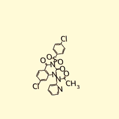 CC(=O)N(c1ccccn1)n1c(=O)n(S(=O)(=O)c2ccc(Cl)cc2)c(=O)c2ccc(Cl)cc21